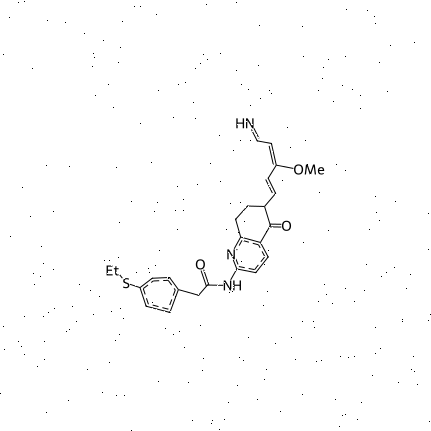 CCSc1ccc(CC(=O)Nc2ccc3c(n2)CCC(/C=C/C(=C\C=N)OC)C3=O)cc1